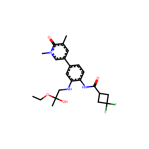 CCOC(C)(O)CNc1cc(-c2cc(C)c(=O)n(C)c2)ccc1NC(=O)C1CC(F)(F)C1